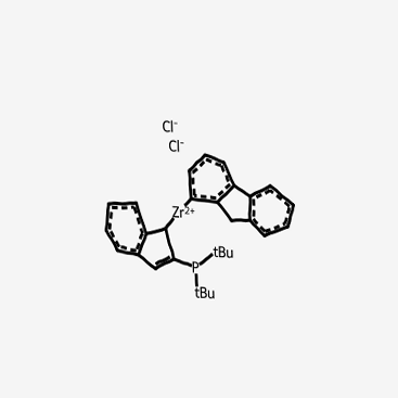 CC(C)(C)P(C1=Cc2ccccc2[CH]1[Zr+2][c]1cccc2c1Cc1ccccc1-2)C(C)(C)C.[Cl-].[Cl-]